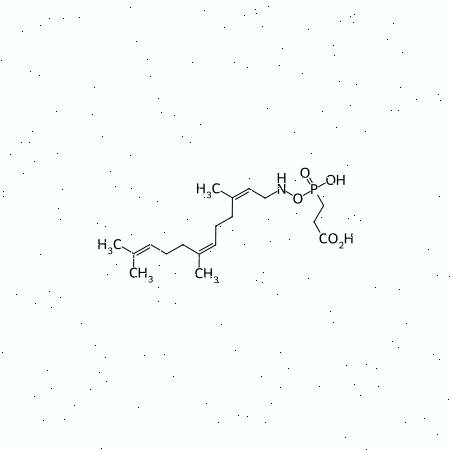 CC(C)=CCCC(C)=CCCC(C)=CCNOP(=O)(O)CCC(=O)O